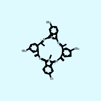 C=C1/N=c2/c3ccc(CC)cc3/c(n2C)=N/C(=C)c2ccc(C(C)(C)C)cc2/C(C)=N/c2c3ccc(C(C)(C)C)cc3c(n2C)/N=C(\C)c2ccc(C(C)(C)C)cc21